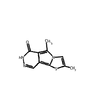 Cc1cn2c(C)c3c(=O)[nH]ncc3c2s1